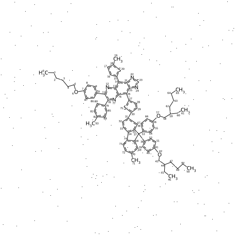 CCCCCCOc1ccc(-c2nc3c(-c4ccc(C)s4)c4nsnc4c(-c4ccc(-c5ccc6c(c5)C(c5ccc(OCC(CC)CCCC)cc5)(c5ccc(OCC(CC)CCCC)cc5)c5cc(C)ccc5-6)s4)c3nc2-c2ccc(C)cc2)cc1